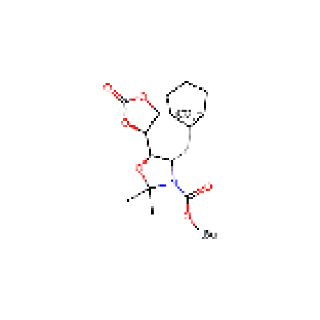 CC(C)(C)OC(=O)N1[C@@H](CC2CCCCC2)[C@H]([C@H]2OC(=O)O[C@@H]2C(=O)O)OC1(C)C